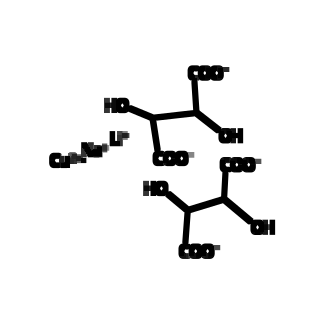 O=C([O-])C(O)C(O)C(=O)[O-].O=C([O-])C(O)C(O)C(=O)[O-].[Cu+2].[Li+].[Na+]